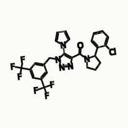 O=C(c1nnn(Cc2cc(C(F)(F)F)cc(C(F)(F)F)c2)c1-n1cccc1)N1CCCC1c1ccccc1Cl